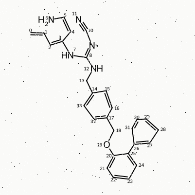 C=C/C=C(\C=C/N)N/C(=N\C#N)NCc1ccc(COc2ccccc2-c2ccccc2)cc1